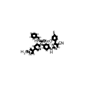 COc1cc(F)ccc1-c1nc(Nc2ccc(N(C(=O)NCc3ccccc3)c3ccc(-c4cnn(C)c4)cn3)cc2)ncc1C#N